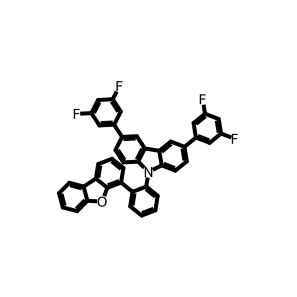 Fc1cc(F)cc(-c2ccc3c(c2)c2cc(-c4cc(F)cc(F)c4)ccc2n3-c2ccccc2-c2cccc3c2oc2ccccc23)c1